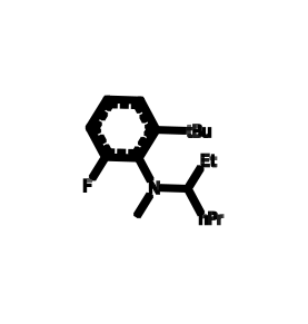 CCCC(CC)N(C)c1c(F)cccc1C(C)(C)C